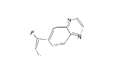 [CH2]/C=C(/F)c1ccc2nccnc2c1